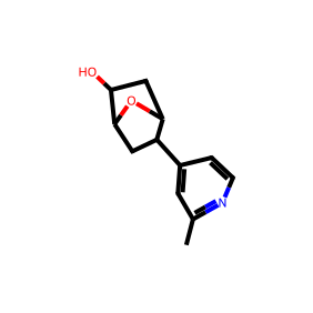 Cc1cc(C2CC3OC2CC3O)ccn1